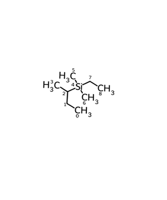 CCC(C)[Si](C)(C)CC